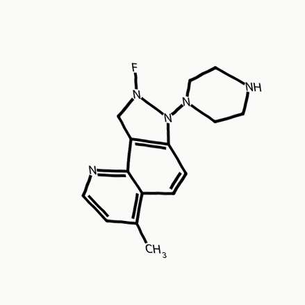 Cc1ccnc2c3c(ccc12)N(N1CCNCC1)N(F)C3